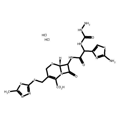 Cc1nnc(SCC2=C(C(=O)O)N3C(=O)C(NC(=O)C(NC(=O)NN)c4csc(N)n4)[C@H]3SC2)s1.Cl.Cl